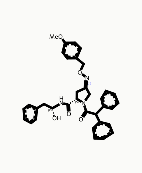 COc1ccc(CO/N=C2\C[C@@H](C(=O)N[C@H](O)Cc3ccccc3)N(C(=O)C(c3ccccc3)c3ccccc3)C2)cc1